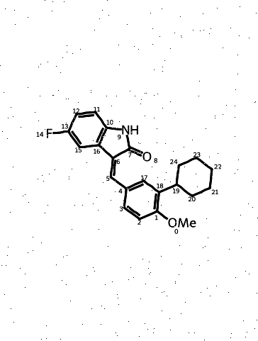 COc1ccc(C=C2C(=O)Nc3ccc(F)cc32)cc1C1CCCCC1